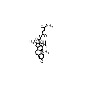 C[C@@H]1CC2C3CCC4=CC(=O)C=C[C@]4(C)C3=CC[C@]2(C)[C@@]1(O)C(=O)COC(=O)CCC(N)=O